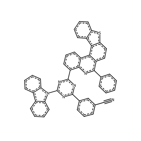 N#Cc1cccc(-c2nc(-c3cccc4c3nc(-c3ccccc3)c3ccc5sc6ccccc6c5c34)nc(-n3c4ccccc4c4ccccc43)n2)c1